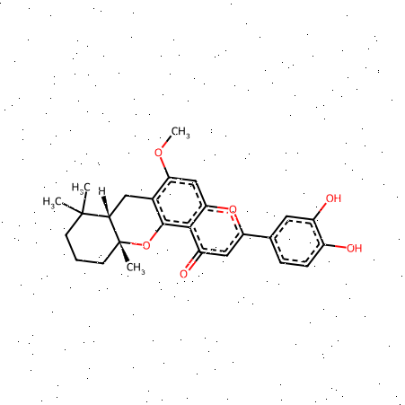 COc1cc2oc(-c3ccc(O)c(O)c3)cc(=O)c2c2c1C[C@H]1C(C)(C)CCC[C@@]1(C)O2